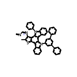 C=N/C=N\c1c(C)sc2c1c1c(c3ccccc3n1-c1ccccc1)c1c2c2ccccc2n1-c1cc(-c2ccccc2)cc(-c2ccccc2)c1